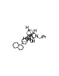 CC(C)CN1C[C@@H]2C[C@H]3CN[C@]2(C(=O)NCCc2cccc4ccccc24)[C@@H]1[C@@H]3Cc1ccccc1